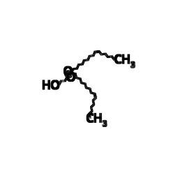 CCCCCC/C=C\CCCCCCCCC1(CCCCCCCC/C=C\CCCCCC)OCC(CCCO)O1